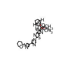 CN(c1nc2sc(-n3cnc(-c4cnn(C5CCCCO5)c4)c3)nc2s1)C1C[C@H]2CC[C@@H](C1)N2C(=O)OC(C)(C)C